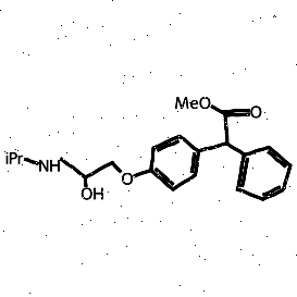 COC(=O)C(c1ccccc1)c1ccc(OCC(O)CNC(C)C)cc1